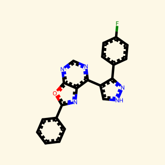 Fc1ccc(-c2n[nH]cc2-c2ncnc3oc(-c4ccccc4)nc23)cc1